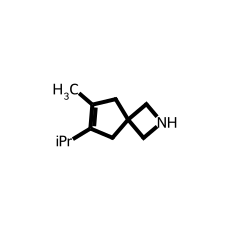 CC1=C(C(C)C)CC2(CNC2)C1